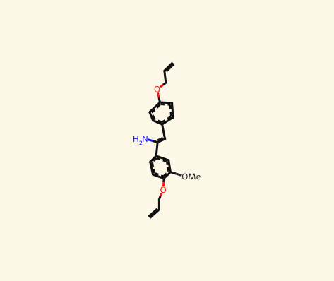 C=CCOc1ccc(/C=C(\N)c2ccc(OCC=C)c(OC)c2)cc1